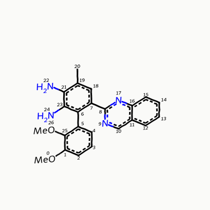 COc1cccc(-c2c(-c3ncc4ccccc4n3)cc(C)c(N)c2N)c1OC